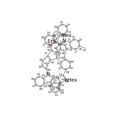 CCCCCCC(C)(CC)c1ccc2c(c1)C13c4cc(N(c5ccc(C)cc5)c5ccccc5-c5ccccc5)ccc4-c4ccc(cc41)N(c1ccccc1-c1ccccc1)c1ccc(C)c4c1C(CCCCCC)(C4)c1ccc-2c3c1